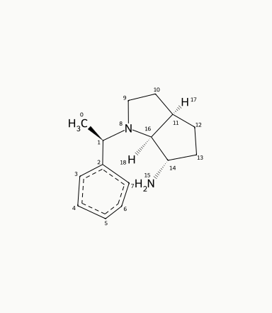 C[C@H](c1ccccc1)N1CC[C@H]2CC[C@H](N)[C@H]21